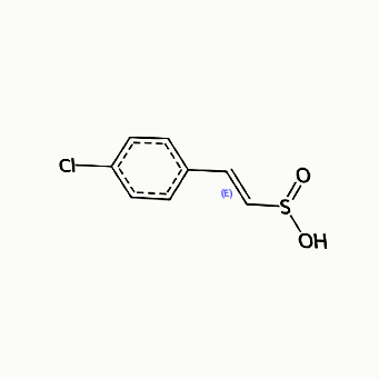 O=S(O)/C=C/c1ccc(Cl)cc1